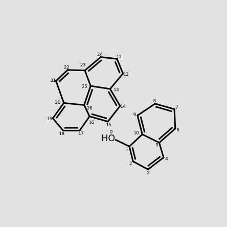 Oc1cccc2ccccc12.c1cc2ccc3cccc4ccc(c1)c2c34